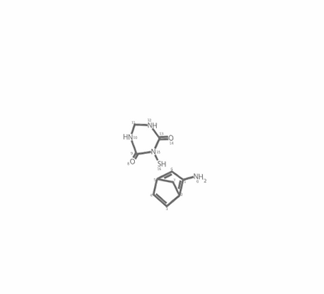 NC1=C2C=CC(=C1)C2.O=C1NCNC(=O)N1S